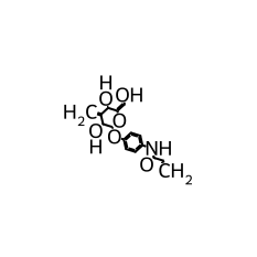 C=CC(=O)Nc1ccc(O[C@H]2O/C(=C/O)[C@@H](O)C(=C)[C@H]2O)cc1